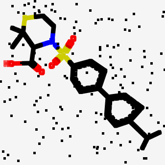 CC(C)c1ccc(-c2ccc(S(=O)(=O)N3CCSC(C)(C)C3C(=O)O)cc2)cc1